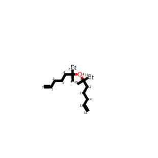 C=CCCCC(C)(CC)OC(C)(CC)CCCC=C